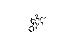 CCCN(CCC)C(=O)n1nnn(-c2ccccc2Br)c1=O